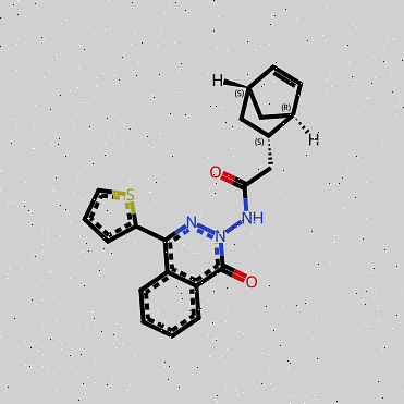 O=C(C[C@@H]1C[C@@H]2C=C[C@@H]1C2)Nn1nc(-c2cccs2)c2ccccc2c1=O